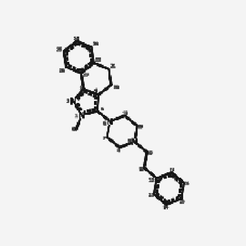 Cn1nc2c(c1N1CCN(CCc3ccccc3)CC1)CCc1ccccc1-2